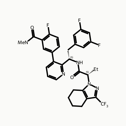 CC[C@@H](C(=O)N[C@@H](Cc1cc(F)cc(F)c1)c1ncccc1-c1ccc(F)c(C(=O)NC)c1)n1nc(C(F)(F)F)c2c1CCCC2